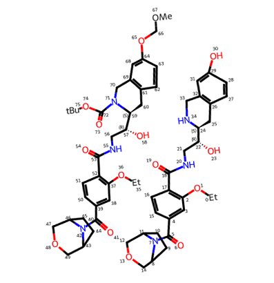 CCOc1cc(C(=O)N2C3CCC2COC3)ccc1C(=O)NC[C@@H](O)[C@@H]1Cc2ccc(O)cc2CN1.CCOc1cc(C(=O)N2C3CCC2COC3)ccc1C(=O)NC[C@@H](O)[C@@H]1Cc2ccc(OCOC)cc2CN1C(=O)OC(C)(C)C